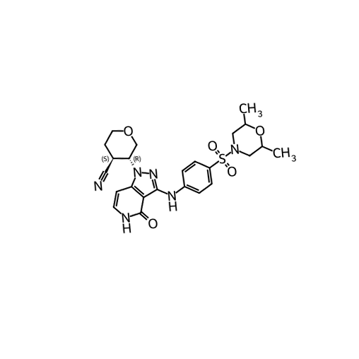 CC1CN(S(=O)(=O)c2ccc(Nc3nn([C@H]4COCC[C@@H]4C#N)c4cc[nH]c(=O)c34)cc2)CC(C)O1